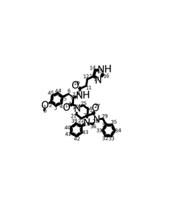 COc1ccc(C[C@@H](NC(=O)CCc2c[nH]cn2)C(=O)N2CCC3(CC2)C(=O)N(Cc2ccccc2)CN3c2ccccc2)cc1